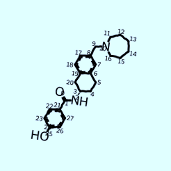 O=C(N[C@H]1CCc2cc(CN3CCCCCC3)ccc2C1)c1ccc(O)cc1